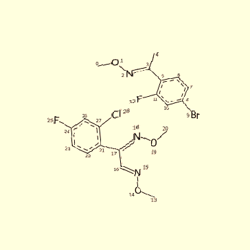 CON=C(C)c1ccc(Br)cc1F.CON=CC(=NOC)c1ccc(F)cc1Cl